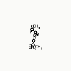 CC#C[C@@H](CC(=O)OC)c1ccc(OC[C@H]2COc3ccc(-c4cc(OC)ccc4F)cc3O2)cc1